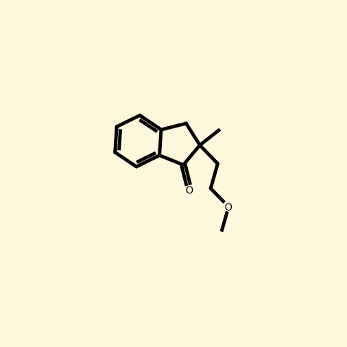 COCCC1(C)Cc2ccccc2C1=O